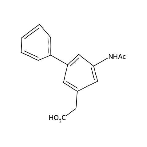 CC(=O)Nc1cc(CC(=O)O)cc(-c2ccccc2)c1